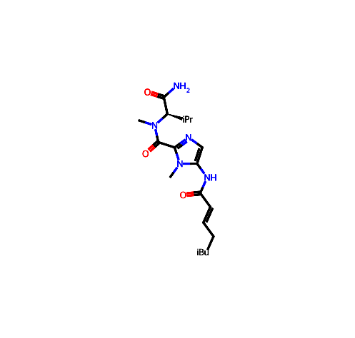 CCC(C)C/C=C/C(=O)Nc1cnc(C(=O)N(C)[C@@H](C(N)=O)C(C)C)n1C